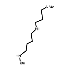 CCC(C)NCCCCNCCCNC